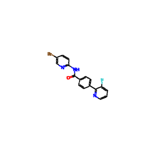 O=C(Nc1ccc(Br)cn1)c1ccc(-c2ncccc2F)cc1